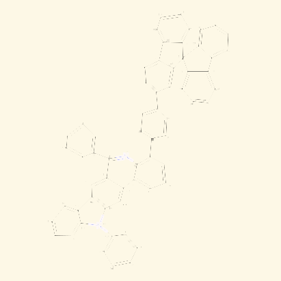 c1ccc(-c2nc3c(-c4ccc(-c5ccc6c(c5)C5(c7ccccc7-c7ccccc75)c5ccccc5-6)cc4)cccc3c3cc4c(cc23)c2ccccc2n4-c2ccccc2)cc1